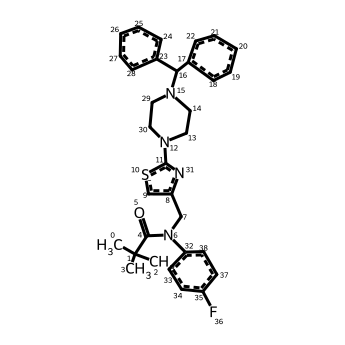 CC(C)(C)C(=O)N(Cc1csc(N2CCN(C(c3ccccc3)c3ccccc3)CC2)n1)c1ccc(F)cc1